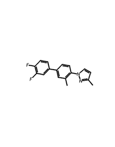 Cc1ccn(-c2ccc(-c3ccc(F)c(F)c3)cc2C)n1